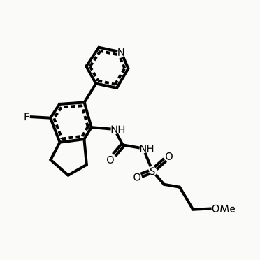 COCCCS(=O)(=O)NC(=O)Nc1c(-c2ccncc2)cc(F)c2c1CCC2